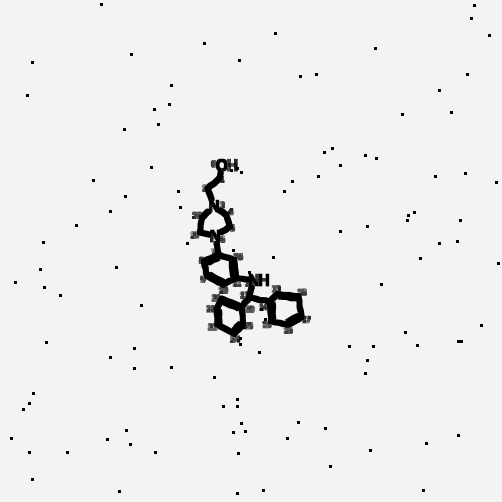 OCCN1CCN(c2cccc(NC(c3ccccc3)c3ccccc3)c2)CC1